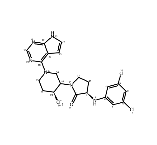 O=C1[C@H](Nc2cc(Cl)cc(Cl)c2)CCN1C1CN(c2ncnc3[nH]ccc23)CC[C@@H]1C(F)(F)F